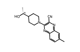 Cc1ccc2nc(N3CCC([C@@H](C)O)CC3)c(C#N)nc2c1